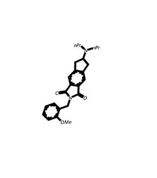 CCCN(CCC)C1Cc2cc3c(cc2C1)C(=O)N(Cc1ccccc1OC)C3=O